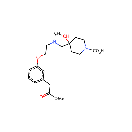 COC(=O)Cc1cccc(OCCN(C)CC2(O)CCN(C(=O)O)CC2)c1